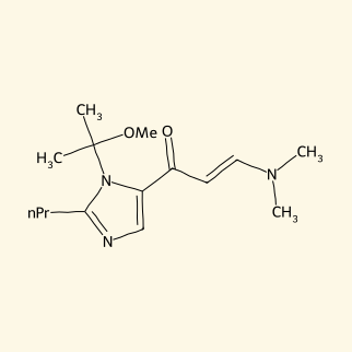 CCCc1ncc(C(=O)C=CN(C)C)n1C(C)(C)OC